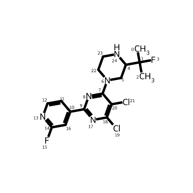 CC(C)(F)C1CN(c2nc(-c3ccnc(F)c3)nc(Cl)c2Cl)CCN1